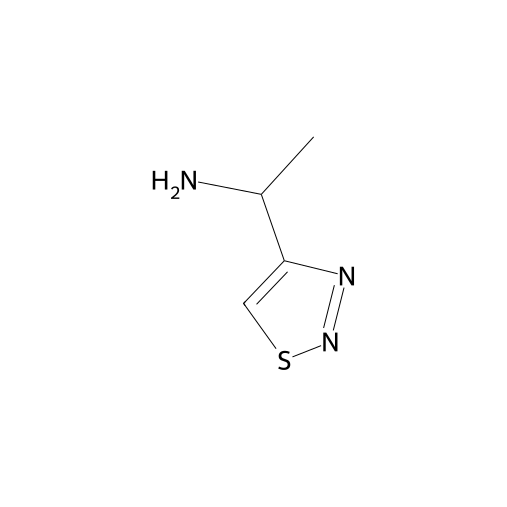 CC(N)c1csnn1